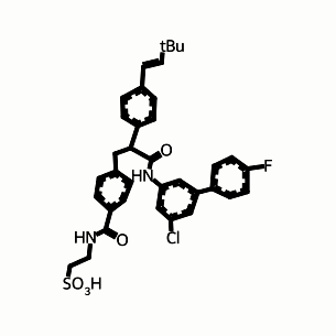 CC(C)(C)/C=C/c1ccc(C(Cc2ccc(C(=O)NCCS(=O)(=O)O)cc2)C(=O)Nc2cc(Cl)cc(-c3ccc(F)cc3)c2)cc1